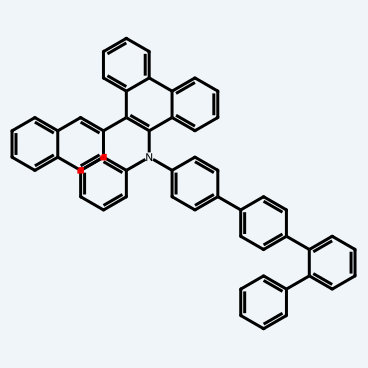 c1ccc(-c2ccccc2-c2ccc(-c3ccc(N(c4ccccc4)c4c(-c5ccc6ccccc6c5)c5ccccc5c5ccccc45)cc3)cc2)cc1